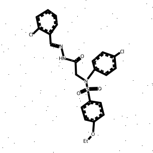 CCOc1ccc(S(=O)(=O)N(CC(=O)N/N=C/c2ccccc2Cl)c2ccc(Cl)cc2)cc1